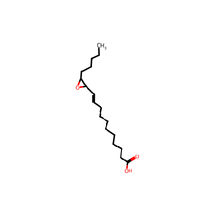 CCCCCC1OC1/C=C/CCCCCCCCC(=O)O